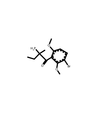 CCC(C)(P)C(=O)c1c(OC)ccc(Br)c1OC